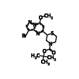 COc1cc(C2CN(C(=O)OC(C)(C)C)CCS2)nc2c(Br)cnn12